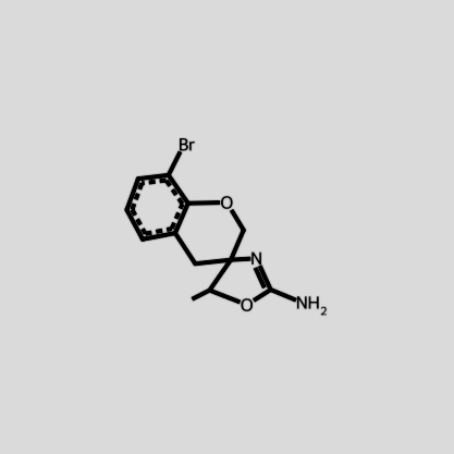 CC1OC(N)=NC12COc1c(Br)cccc1C2